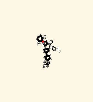 CCOC(=O)[C@@H]1CC(c2c(F)cccc2F)=N[C@H]1c1ccc(-c2ccc(OC(F)(F)F)cc2)cc1